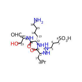 CC(C)C[C@H](NNCCCS(=O)(=O)O)C(=O)N[C@@H](CCCCN)C(=O)N[C@H](C=O)CO